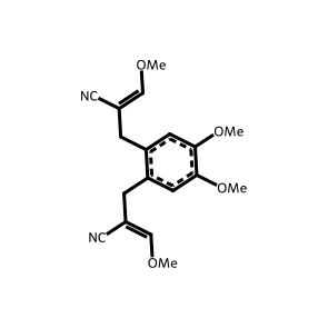 COC=C(C#N)Cc1cc(OC)c(OC)cc1CC(C#N)=COC